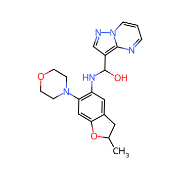 CC1Cc2cc(NC(O)c3cnn4cccnc34)c(N3CCOCC3)cc2O1